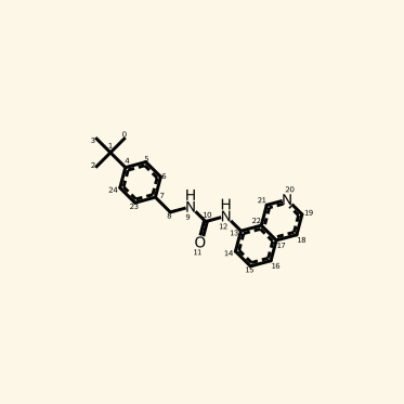 CC(C)(C)c1ccc(CNC(=O)Nc2cccc3ccncc23)cc1